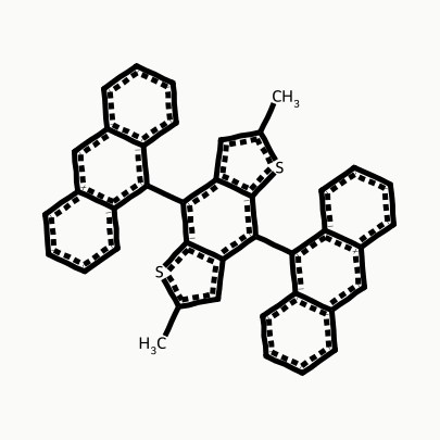 Cc1cc2c(-c3c4ccccc4cc4ccccc34)c3sc(C)cc3c(-c3c4ccccc4cc4ccccc34)c2s1